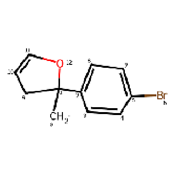 [CH2]C1(c2ccc(Br)cc2)CC=CO1